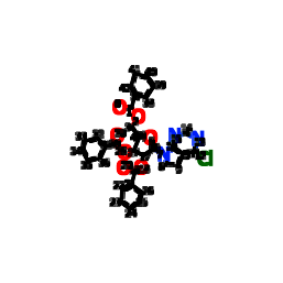 O=C(OC[C@H]1O[C@@H](n2ccc3c(Cl)ncnc32)C(OC(=O)c2ccccc2)C1OC(=O)c1ccccc1)c1ccccc1